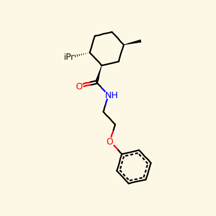 CC(C)[C@@H]1CC[C@@H](C)C[C@H]1C(=O)NCCOc1ccccc1